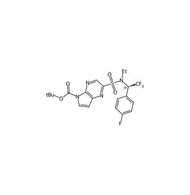 CCN([C@H](c1ccc(F)cc1)C(F)(F)F)S(=O)(=O)c1cnc2c(ccn2C(=O)OC(C)(C)C)n1